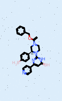 B=C1C=C(c2ccncc2)N=C(N2CCN(C(=C)OCc3ccccc3)C[C@@H]2c2ccc(B)cc2)N1